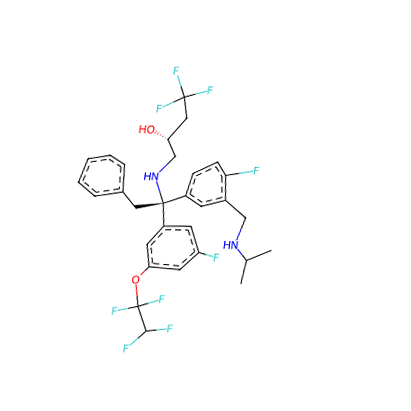 CC(C)NCc1cc([C@@](Cc2ccccc2)(NC[C@H](O)CC(F)(F)F)c2cc(F)cc(OC(F)(F)C(F)F)c2)ccc1F